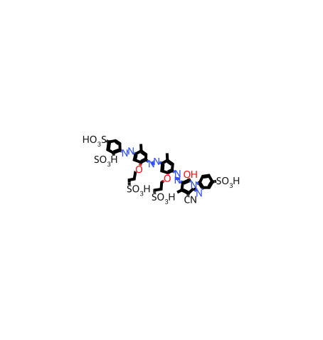 Cc1cc(N=Nc2c(C)c(C#N)c3nc4cc(S(=O)(=O)O)ccc4n3c2O)c(OCCCS(=O)(=O)O)cc1N=Nc1cc(C)c(N=Nc2ccc(S(=O)(=O)O)cc2S(=O)(=O)O)cc1OCCCS(=O)(=O)O